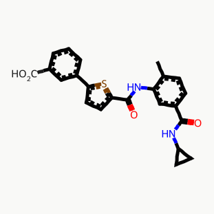 Cc1ccc(C(=O)NC2CC2)cc1NC(=O)c1ccc(-c2cccc(C(=O)O)c2)s1